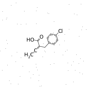 C=C=C(Cc1ccc(Cl)cc1)C(=O)O